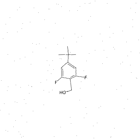 CC(C)(C)c1cc(F)c(CO)c(F)c1